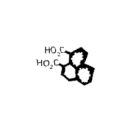 O=C(O)C1=CCc2cccc3ccc(C(=O)O)c1c23